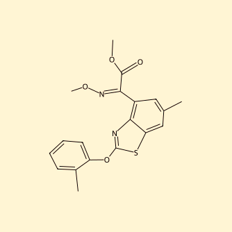 CON=C(C(=O)OC)c1cc(C)cc2sc(Oc3ccccc3C)nc12